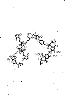 C=CC(C)(C)NC(=O)[C@H](C)NC(=O)[C@@H](NC(=O)CCCNC(=O)[C@@H](NC(=O)CCN1C(=O)C=CC1=O)[C@@H](NC(=O)CCN1C(=O)C=CC1=O)C(=O)NCCCC(=O)N[C@H](C(=O)N[C@@H](C)C(=O)Nc1ccc(COC(=O)N2C[C@@H]3CCCN3C(=O)c3cc(OC)c(OOc4cc5c(cc4OC)C(=O)N4CC(=C)C[C@H]4CN5C(=O)O)cc32)cc1)C(C)C)C(C)C